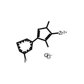 CC1=[C]([Zr+2])C(C)C=C1c1cccc(F)c1.[Cl-].[Cl-]